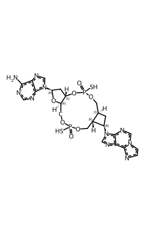 Nc1ncnc2c1ncn2[C@H]1C[C@@H]2OP(=O)(S)OC[C@H]3C[C@@H](n4cnc5c4ncn4ccnc54)[C@@H]3COP(=O)(S)OC[C@H]2O1